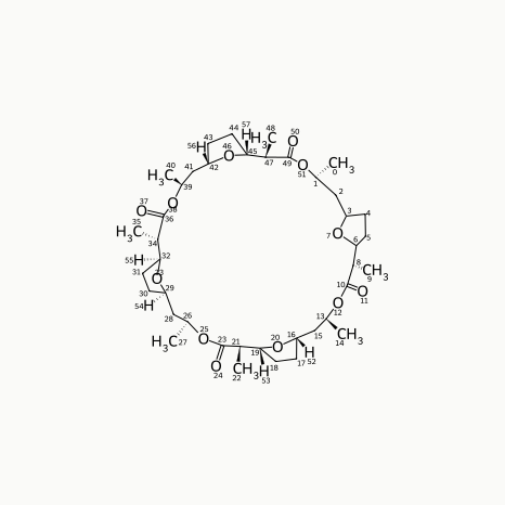 C[C@@H]1CC2CCC(O2)[C@H](C)C(=O)O[C@@H](C)C[C@@H]2CC[C@@H](O2)[C@@H](C)C(=O)O[C@H](C)C[C@H]2CC[C@H](O2)[C@H](C)C(=O)O[C@@H](C)C[C@@H]2CC[C@@H](O2)[C@@H](C)C(=O)O1